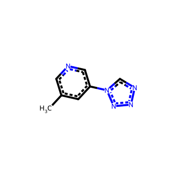 Cc1cncc(-n2cnnn2)c1